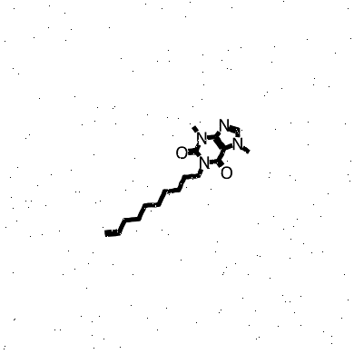 C=CCCCCCCCCn1c(=O)c2c(ncn2C)n(C)c1=O